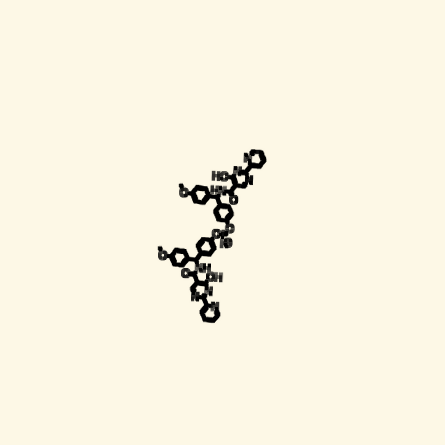 COc1ccc(C(NC(=O)c2cnc(-c3ccccn3)nc2O)c2ccc(O[PH](=O)Oc3ccc(C(NC(=O)c4cnc(-c5ccccn5)nc4O)c4ccc(OC)cc4)cc3)cc2)cc1